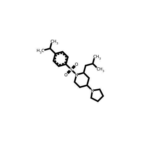 CC(C)CC1CC(N2CCCC2)CCN1S(=O)(=O)c1ccc(C(C)C)cc1